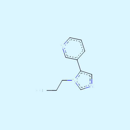 O=CCCn1cncc1-c1cccnc1